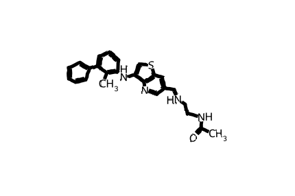 CC(=O)NCCNCc1cnc2c(Nc3cccc(-c4ccccc4)c3C)csc2c1